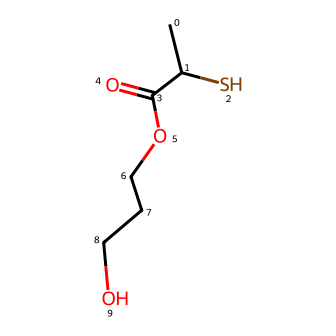 CC(S)C(=O)OCCCO